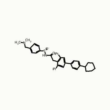 CC(C)c1cc(-c2ccc(C3CCCCC3)cc2)cc(C(C)C)c1CC(=O)N[S+]([O-])c1ccc(CN(C)C)cc1